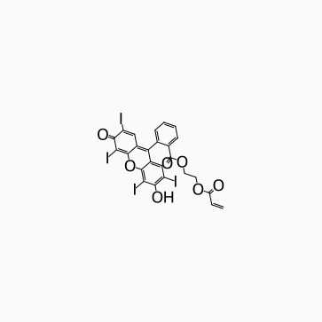 C=CC(=O)OCCOC(=O)c1ccccc1-c1c2cc(I)c(=O)c(I)c-2oc2c(I)c(O)c(I)cc12